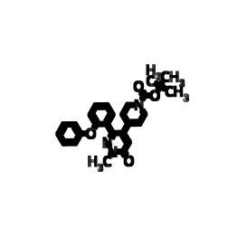 Cn1nc(-c2ccccc2Oc2ccccc2)c(C2=CCN(C(=O)OC(C)(C)C)CC2)cc1=O